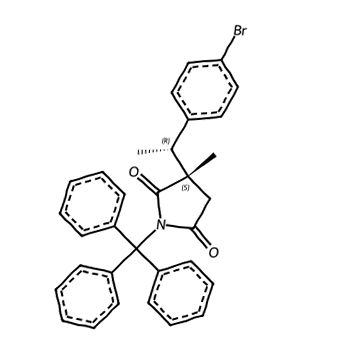 C[C@H](c1ccc(Br)cc1)[C@]1(C)CC(=O)N(C(c2ccccc2)(c2ccccc2)c2ccccc2)C1=O